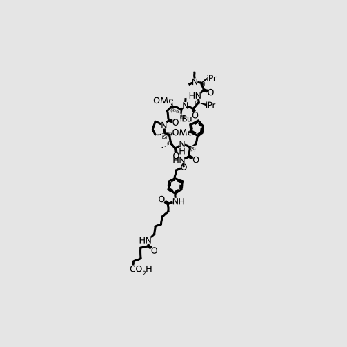 CC[C@H](C)[C@@H]([C@@H](CC(=O)N1CCC[C@H]1[C@H](OC)[C@@H](C)C(=O)N[C@@H](Cc1ccccc1)C(=O)NOCc1ccc(NC(=O)CCCCCNC(=O)CCCC(=O)O)cc1)OC)N(C)C(=O)[C@@H](NC(=O)[C@H](C(C)C)N(C)C)C(C)C